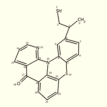 CC(CS)c1ccc2c(c1)-n1c3ncccc3c(=O)c3cccc(c31)S2